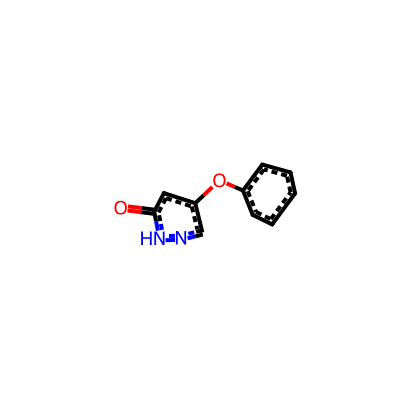 O=c1cc(Oc2ccccc2)cn[nH]1